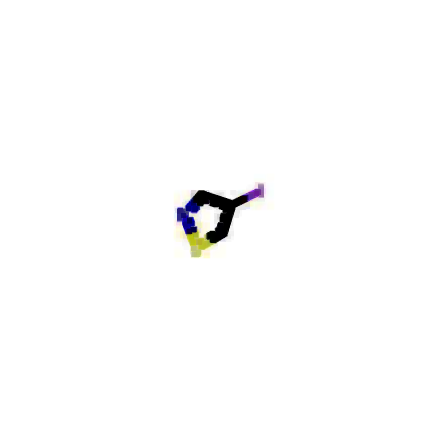 Ic1cnsc1